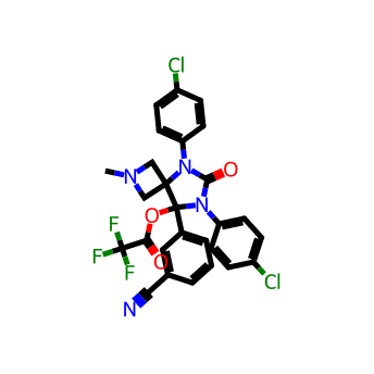 CN1CC2(C1)N(c1ccc(Cl)cc1)C(=O)N(c1ccc(Cl)cc1)C2(OC(=O)C(F)(F)F)c1cccc(C#N)c1